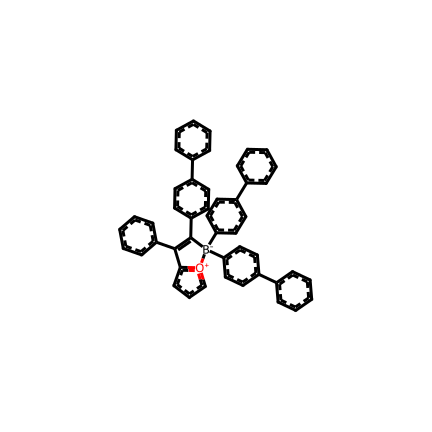 c1ccc(C2=C(c3ccc(-c4ccccc4)cc3)[B-](c3ccc(-c4ccccc4)cc3)(c3ccc(-c4ccccc4)cc3)[o+]3cccc32)cc1